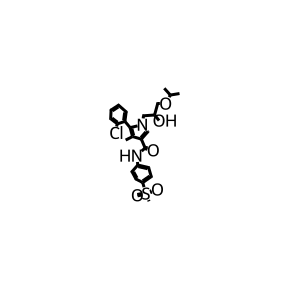 Cc1c(C(=O)Nc2ccc(S(C)(=O)=O)cc2)cn(CC(O)COC(C)C)c1-c1ccccc1Cl